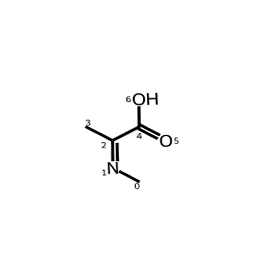 CN=C(C)C(=O)O